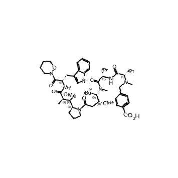 CC[C@H](C)[C@@H]([C@@H](CC(=O)N1CCC[C@H]1[C@H](OC)[C@@H](C)C(=O)N[C@@H](Cc1c[nH]c2ccccc12)C(=O)N1CCCCO1)OC)N(C)C(=O)[C@@H](NC(=O)[C@H](C(C)C)N(C)Cc1ccc(C(=O)O)cc1)C(C)C